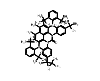 Bc1c2c3c4c5c(c(B)c(B)c4c1B)B(c1c(C(B)(C)C)cccc1C(B)(C)C)c1cc(C4(B)BC4(C)C)ccc1N5C(=O)N3c1ccc(C(B)(B)C(C)(C)C)cc1B2c1c(C(B)(C)C)cccc1C(B)(C)C